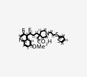 COc1ccc2ncc(F)c(C(F)CCC3(CC(=O)O)CCN(CCSc4cccs4)CC3)c2c1